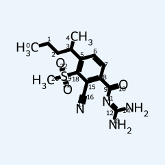 CCCC(C)c1ccc(C(=O)N=C(N)N)c(C#N)c1S(C)(=O)=O